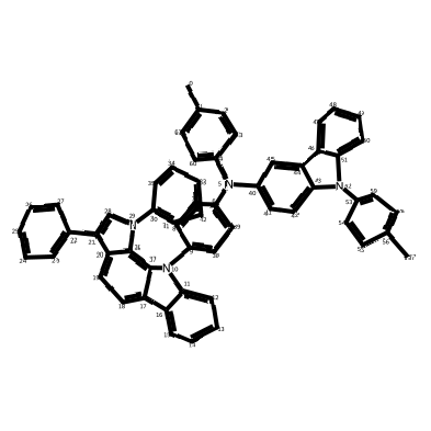 Cc1ccc(N(c2ccc(-n3c4ccccc4c4ccc5c(-c6ccccc6)cn(-c6ccccc6)c5c43)cc2)c2ccc3c(c2)c2ccccc2n3-c2ccc(C)cc2)cc1